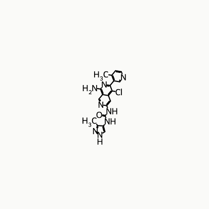 Cc1ccncc1-c1nc(N)c2cnc(NC(=O)Nc3c[nH]nc3C)cc2c1Cl